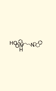 O=C(O)c1cccc2c(CCCCN3CCC4=C(CCc5ccccc54)C3)c[nH]c12